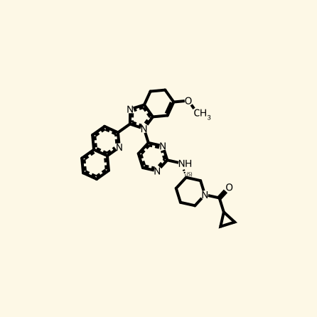 COC1=Cc2c(nc(-c3ccc4ccccc4n3)n2-c2ccnc(N[C@H]3CCCN(C(=O)C4CC4)C3)n2)CC1